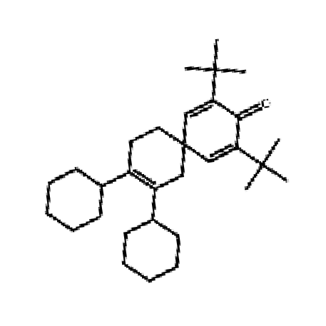 CC(C)(C)C1=CC2(C=C(C(C)(C)C)C1=O)CCC(C1CCCCC1)=C(C1CCCCC1)C2